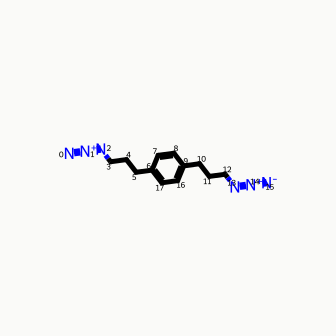 [N-]=[N+]=NCCCc1ccc(CCCN=[N+]=[N-])cc1